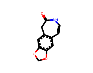 O=C1Cc2cc3c(cc2C=CN1)OCO3